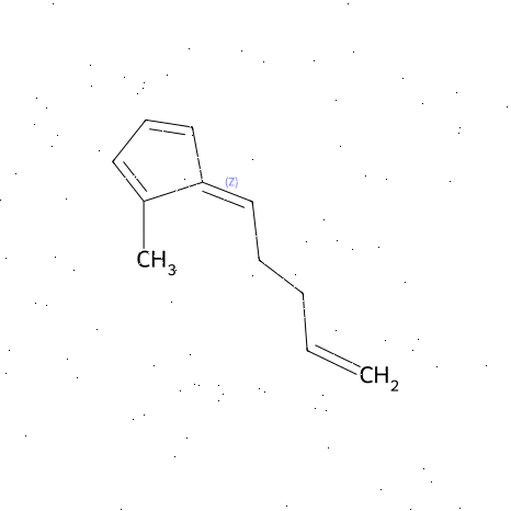 C=CCC/C=C1/C=CC=C1C